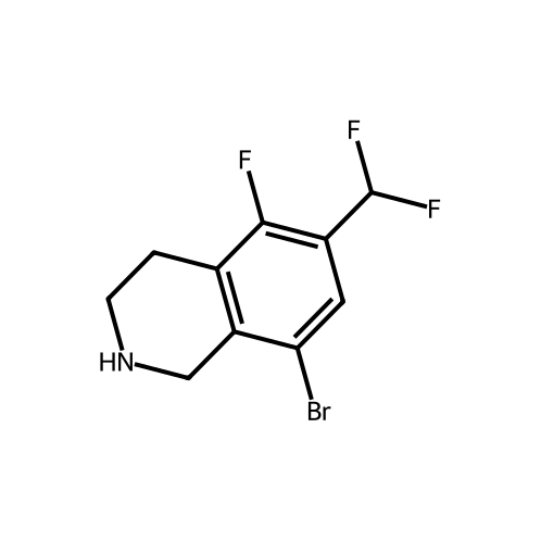 Fc1c(C(F)F)cc(Br)c2c1CCNC2